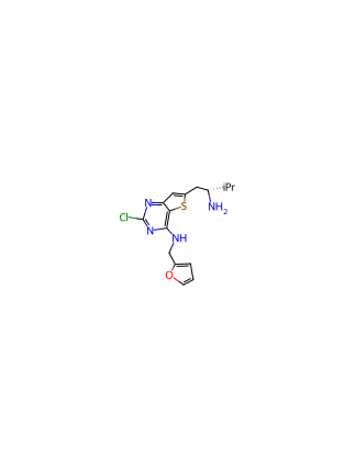 CC(C)[C@H](N)Cc1cc2nc(Cl)nc(NCc3ccco3)c2s1